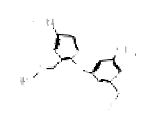 CCOC(=O)Cc1cc(Oc2ccc([N+](=O)[O-])cc2CSC(C)C)cc(C(F)(F)F)c1